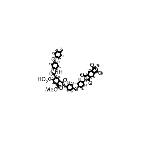 COC(=O)c1cc(C(=O)O)c(C(=O)Nc2ccc(Oc3ccc(C)cc3)cc2)cc1C(=O)Nc1ccc(Oc2ccc(-n3c(=O)c4cc5c(=O)n(C)c(=O)c5cc4c3=O)cc2)cc1